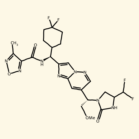 COC[C@H](c1cnn2cc([C@@H](NC(=O)c3nonc3C)C3CCC(F)(F)CC3)nc2c1)N1CC(C(F)F)NC1=O